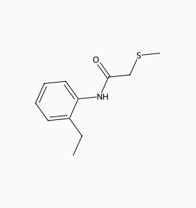 CCc1ccccc1NC(=O)CSC